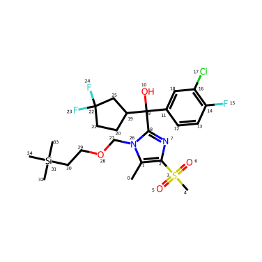 Cc1c(S(C)(=O)=O)nc(C(O)(c2ccc(F)c(Cl)c2)C2CCC(F)(F)C2)n1COCC[Si](C)(C)C